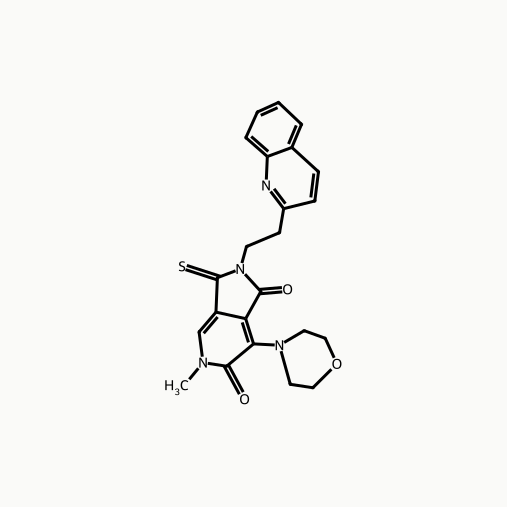 Cn1cc2c(c(N3CCOCC3)c1=O)C(=O)N(CCc1ccc3ccccc3n1)C2=S